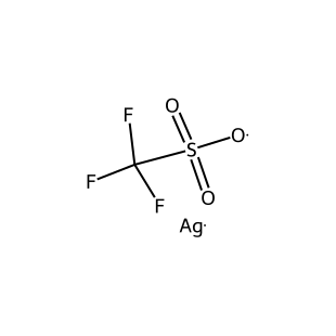 [Ag].[O]S(=O)(=O)C(F)(F)F